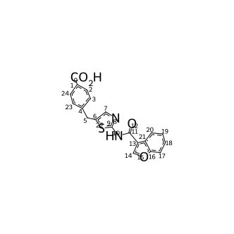 O=C(O)c1ccc(Cc2cnc(NC(=O)c3coc4ccccc34)s2)cc1